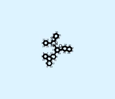 C1=Cc2c(c3c(c4ccccc24)C=C(c2cc(-c4nc(-c5ccccc5)c5sc6ccccc6c5n4)c4oc5cc6ccccc6cc5c4c2)CC3)CC1